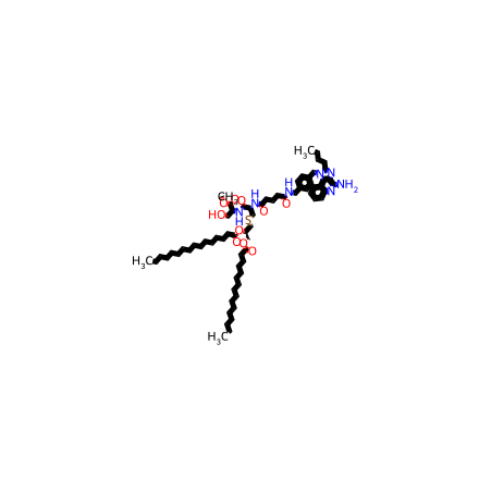 CCCCCCCCCCCCCCCC(=O)OC[C@H](CSCC(NC(=O)CCCC(=O)NCc1ccc(Cn2c(CCCC)nc3c(N)nc4ccccc4c32)cc1)C(=O)NC(CO)C(=O)OC)OC(=O)CCCCCCCCCCCCCCC